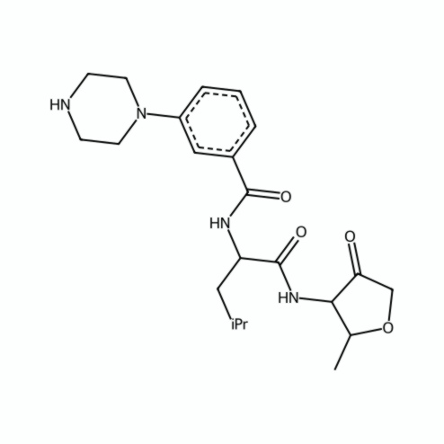 CC(C)CC(NC(=O)c1cccc(N2CCNCC2)c1)C(=O)NC1C(=O)COC1C